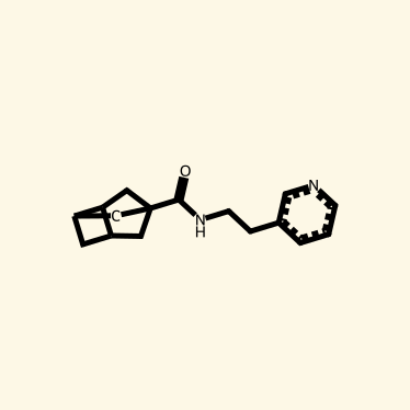 O=C(NCCc1cccnc1)C12CC3CC(C1)C3C2